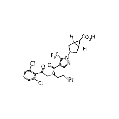 CC(C)CCN(CC(=O)c1c(Cl)cncc1Cl)C(=O)c1cnn(C2C[C@@H]3C(C(=O)O)[C@@H]3C2)c1C(F)(F)F